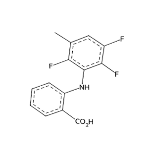 Cc1cc(F)c(F)c(Nc2ccccc2C(=O)O)c1F